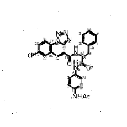 CC(=O)Nc1ccc(NC(=O)[C@H](Cc2ccccc2)NC(=O)C=Cc2cc(Cl)ccc2-n2cnnn2)cn1